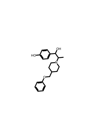 CC(C(O)c1ccc(O)cc1)N1CCC(COc2ccccc2)CC1